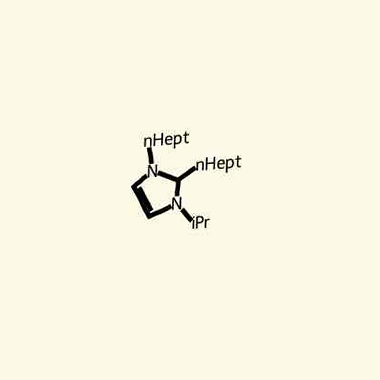 CCCCCCCC1N(CCCCCCC)C=CN1C(C)C